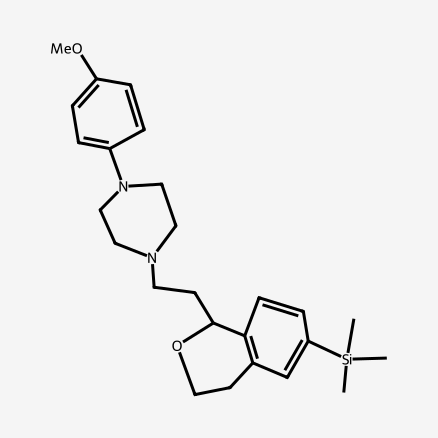 COc1ccc(N2CCN(CCC3OCCc4cc([Si](C)(C)C)ccc43)CC2)cc1